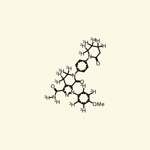 [2H]c1c([2H])c(-n2nc(C(=O)N([2H])[2H])c3c2C(=O)N(c2ccc(N4C(=O)CC([2H])([2H])C([2H])([2H])C4([2H])[2H])cc2)C([2H])([2H])C3([2H])[2H])c([2H])c([2H])c1OC